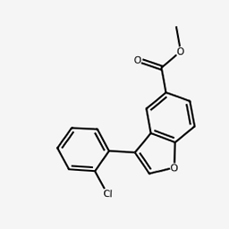 COC(=O)c1ccc2occ(-c3ccccc3Cl)c2c1